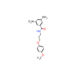 O=C(NCCCOc1ccc(OC(F)(F)F)cc1)c1cc([N+](=O)[O-])cc([N+](=O)[O-])c1